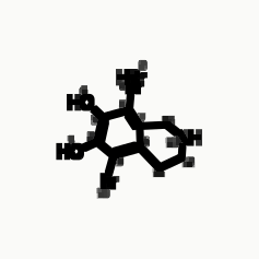 Br.Oc1c(O)c(Br)c2c(c1Br)CCNC2